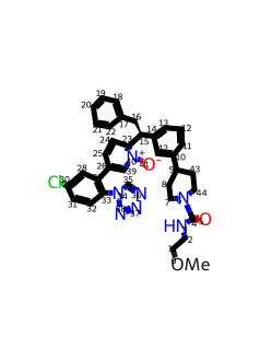 COCCNC(=O)N1CCC(c2cccc([C@H](Cc3ccccc3)c3ccc(-c4cc(Cl)ccc4-n4cnnn4)c[n+]3[O-])c2)CC1